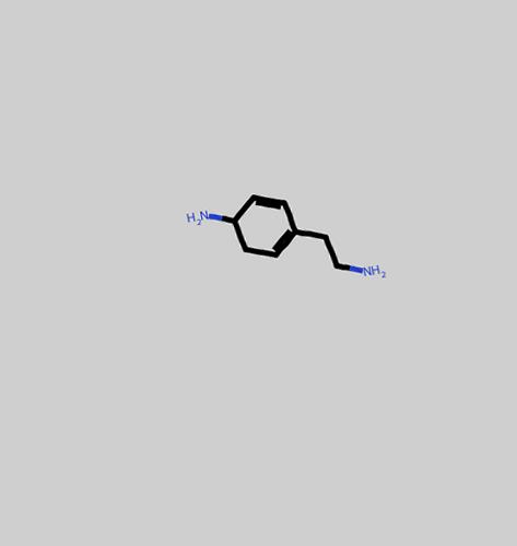 NCCC1=CCC(N)C=C1